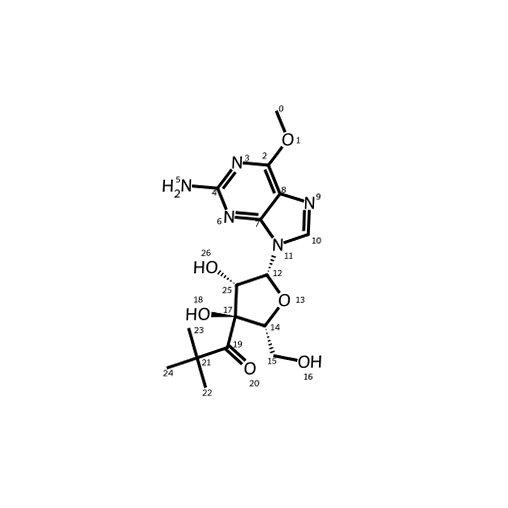 COc1nc(N)nc2c1ncn2[C@@H]1O[C@H](CO)[C@](O)(C(=O)C(C)(C)C)[C@@H]1O